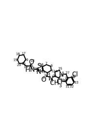 CN(C(=O)C1CCCc2sc(NC(=O)CC3CCCCC3)nc21)C1CCN(Cc2c(Cl)cccc2Cl)C1